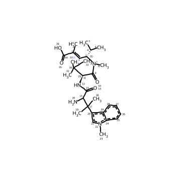 C/C(=C\[C@H](C(C)C)N(C)C(=O)[C@@H](NC(=O)C(N)C(C)(C)c1cn(C)c2ccccc12)C(C)(C)C)C(=O)O